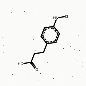 O=C(O)CCc1ccc(NCl)cc1